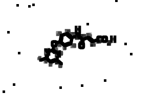 Cc1cc(C)nc(Oc2ccc(NC(=O)C=CC(=O)O)cc2)n1